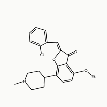 CCOc1ccc(C2CCN(C)CC2)c2c1C(=O)/C(=C/c1ccccc1Cl)O2